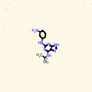 C[C@@H](Nc1nc(Nc2cccc(N)c2)nc2[nH]cnc12)C(C)(C)C